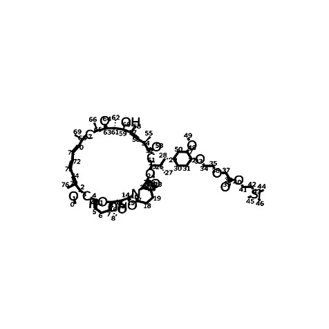 CO[C@H]1C[C@@H]2CC[C@@H](C)[C@@](O)(O2)C(=O)C(=O)N2CCCC[C@H]2C(=O)O[C@H]([C@@H](C)C[C@H]2CC[C@@H](OCCOCC(=O)OCC[Si](C)(C)C)[C@H](OC)C2)CC(=O)[C@H](C)/C=C(\C)[C@@H](O)[C@@H](C)C(=O)[C@H](C)C[C@H](C)/C=C/C=C/C=C/1C